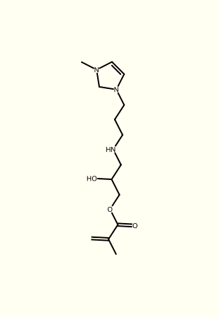 C=C(C)C(=O)OCC(O)CNCCCN1C=CN(C)C1